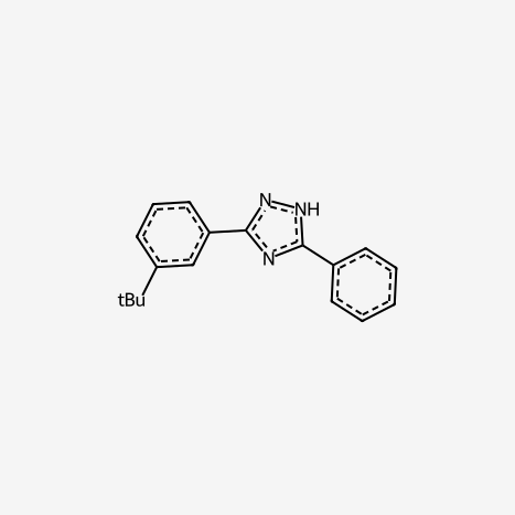 CC(C)(C)c1cccc(-c2n[nH]c(-c3ccccc3)n2)c1